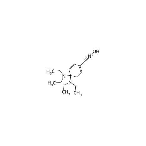 CCN(CC)C1(N(CC)CC)C=CC(C#[N+]O)=CC1